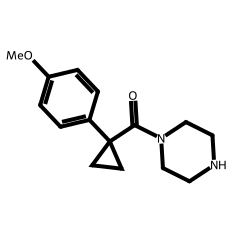 COc1ccc(C2(C(=O)N3CCNCC3)CC2)cc1